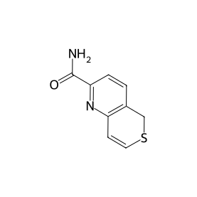 NC(=O)c1ccc2c(n1)C=CSC2